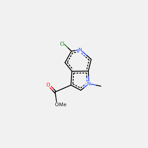 COC(=O)c1cn(C)c2cnc(Cl)cc12